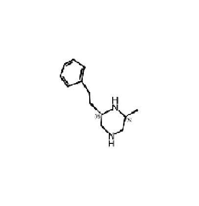 C[C@H]1CNC[C@@H](CCc2ccccc2)N1